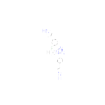 Cn1c(-c2ccc(C3=CCNCC3)cc2)nnc1-c1ccc(C2=CCNCC2)cc1F